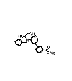 COC(=O)c1cccc(-c2cnc3c(c2)N(Cc2ccccc2)C(O)CN3)c1